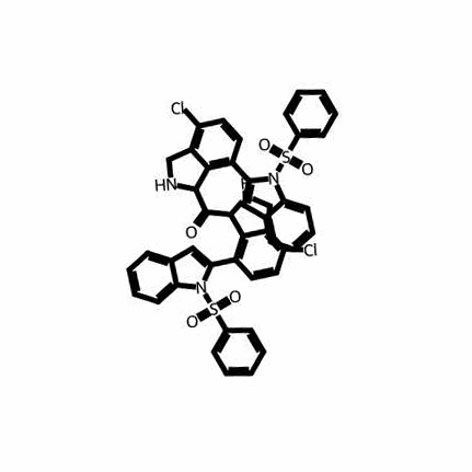 O=C(C1NCc2c(Cl)ccc(-c3cc4ccccc4n3S(=O)(=O)c3ccccc3)c21)C1NCc2c(Cl)ccc(-c3cc4ccccc4n3S(=O)(=O)c3ccccc3)c21